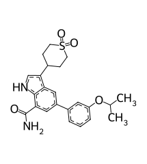 CC(C)Oc1cccc(-c2cc(C(N)=O)c3[nH]cc(C4CCS(=O)(=O)CC4)c3c2)c1